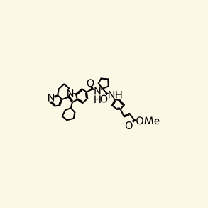 COC(=O)/C=C/c1ccc(NC(=O)C2(NC(=O)c3ccc4c(C5CCCCC5)c5n(c4c3)CCCc3ncccc3-5)CCCC2)cc1